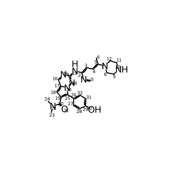 C=N/C(=C\C=C(/C)N1CCNCC1)Nc1ncc2cc(C(=O)N(C)C)c(-c3ccc(O)cc3)n2n1